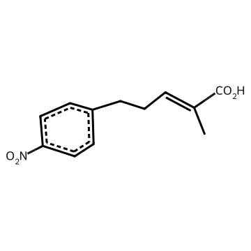 CC(=CCCc1ccc([N+](=O)[O-])cc1)C(=O)O